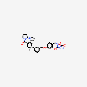 Cc1cc(C(=O)N2CCCC2N2CCCC2)ccc1-c1cccc(COc2ccc(Cn3oc(=O)[nH]c3=O)cc2)c1